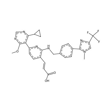 COc1ncnc(C2CC2)c1-c1ccc(/C=C/C(=O)O)c(NCc2ccc(-c3nc(C(F)(F)F)cn3C)cc2)n1